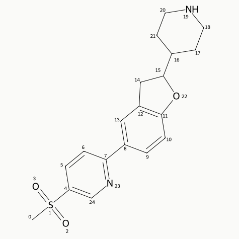 CS(=O)(=O)c1ccc(-c2ccc3c(c2)CC(C2CCNCC2)O3)nc1